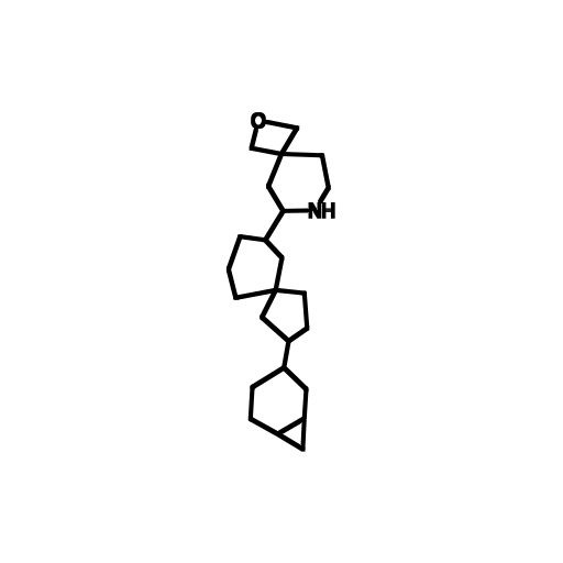 C1CC(C2CC3(CCN2)COC3)CC2(C1)CCC(C1CCC3CC3C1)C2